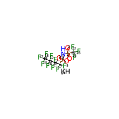 O=S(=O)(NS(=O)(=O)C(F)(F)C(F)(F)C(F)(F)C(F)(F)F)C(F)(F)F.[KH]